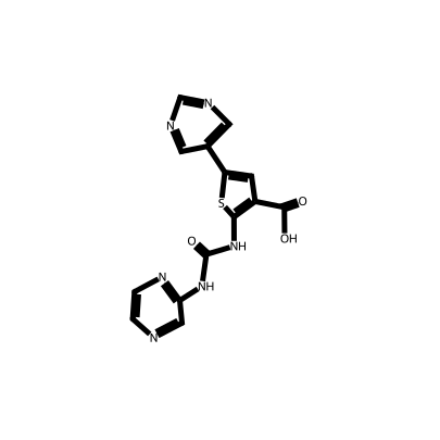 O=C(Nc1cnccn1)Nc1sc(-c2cncnc2)cc1C(=O)O